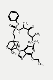 CCOc1nc(N)nc2c1ncn2[C@@H]1O[C@@]2(COP(=O)(NC(C)C(=O)OC(C)C)Oc3ccccc3)CO[C@]1(C)[C@@H]2O